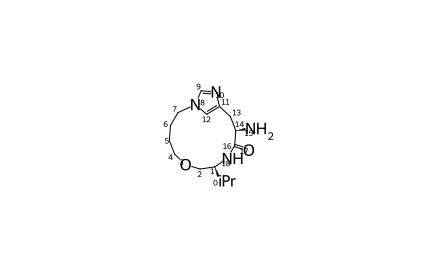 CC(C)[C@H]1COCCCCn2cnc(c2)C[C@@H](N)C(=O)N1